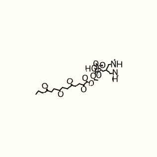 CCCC(=O)CCC(=O)CCC(=O)CCC(=O)C(=O)OC(C)OP(=O)(O)S(=O)(=O)CC(CNC)CNC